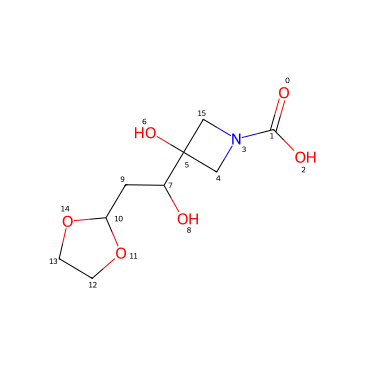 O=C(O)N1CC(O)(C(O)CC2OCCO2)C1